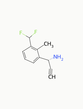 C#C[C@@H](N)c1cccc(C(F)F)c1C